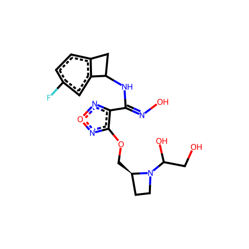 OCC(O)N1CC[C@H]1COc1nonc1/C(=N/O)NC1Cc2ccc(F)cc21